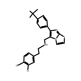 CC(C)(C)c1ccc(-c2nc3sccn3c2CNCCc2ccc(Cl)c(Cl)c2)cc1